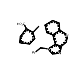 CC(C)Cn1cnc2cnc3ccccc3c21.Cc1ccccc1C(=O)O